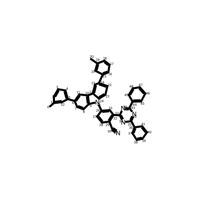 Cc1cccc(-c2ccc3c(c2)c2cc(-c4cccc(C)c4)ccc2n3-c2ccc(C#N)c(-c3nc(-c4ccccc4)nc(-c4ccccc4)n3)c2)c1